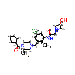 Cc1c(CN2CCN(C(=O)C3CCCC3)C(C)C2)cc(Cl)cc1NC(=O)CN1CC(O)C1